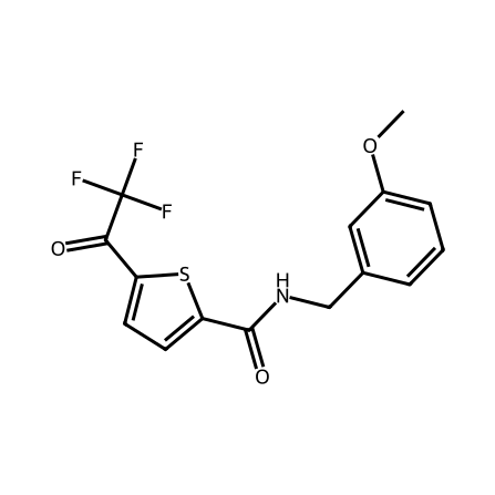 COc1cccc(CNC(=O)c2ccc(C(=O)C(F)(F)F)s2)c1